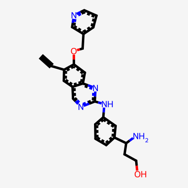 C#Cc1cc2cnc(Nc3cccc(C(N)CCO)c3)nc2cc1OCc1cccnc1